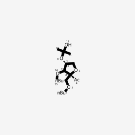 CCCCOC[C@@]1(C(C)=O)OC[C@@H](OC(C)(C)O)C1OCCCC